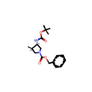 C[C@@H]1CN(C(=O)OCc2ccccc2)C[C@H]1NC(=O)OC(C)(C)C